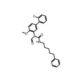 COc1ccc(-c2ccccc2F)cc1N(C=O)C(=O)NCCCCCc1ccccc1